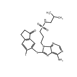 CC(C)CNS(=O)(=O)CCCn1c(Sc2cc3c(cc2I)CCC3=O)nc2c(N)ncnc21